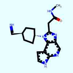 CNC(=O)Cc1nc2cnc3[nH]ccc3c2n1[C@H]1CC[C@H](C=N)CC1